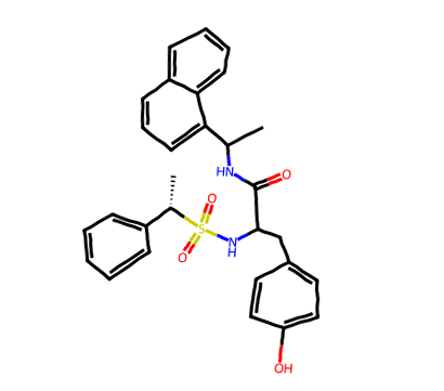 CC(NC(=O)C(Cc1ccc(O)cc1)NS(=O)(=O)[C@@H](C)c1ccccc1)c1cccc2ccccc12